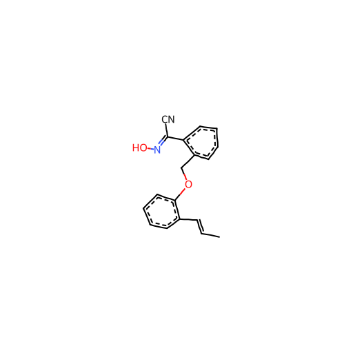 CC=Cc1ccccc1OCc1ccccc1C(C#N)=NO